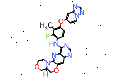 Cc1c(Oc2ccn3ncnc3c2)ccc(Nc2ncnc3cc4c(nc23)N2CCOC[C@H]2CO4)c1F